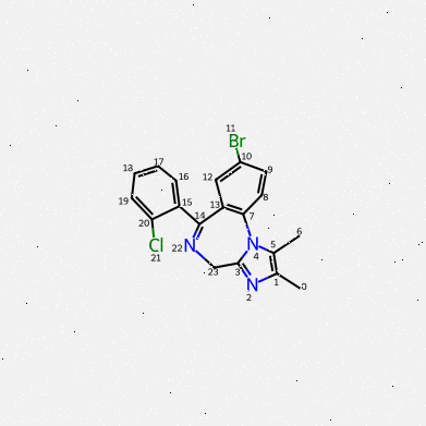 Cc1nc2n(c1C)-c1ccc(Br)cc1C(c1ccccc1Cl)=NC2